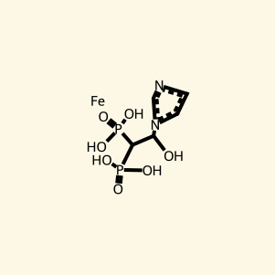 O=P(O)(O)C(C(O)n1ccnc1)P(=O)(O)O.[Fe]